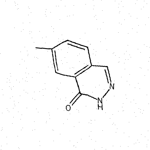 Cc1ccc2cn[nH]c(=O)c2c1